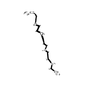 FC(F)(F)COCCOCCOCCOCC(F)(F)F